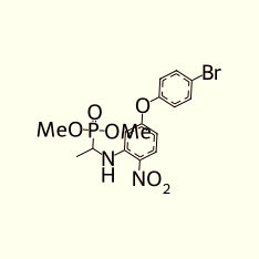 COP(=O)(OC)C(C)Nc1cc(Oc2ccc(Br)cc2)ccc1[N+](=O)[O-]